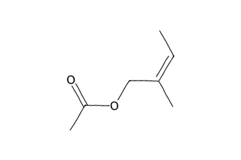 CC=C(C)COC(C)=O